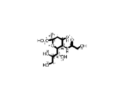 CC(C)[C@]1(C(=O)O)CC(O)[C@@H](NC(=O)CO)C([C@H](O)[C@H](O)CO)O1